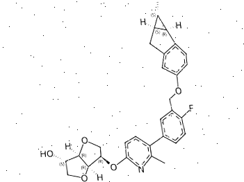 Cc1nc(O[C@@H]2CO[C@H]3[C@@H]2OC[C@@H]3O)ccc1-c1ccc(F)c(COc2ccc3c(c2)C[C@H]2[C@H](C)[C@@H]32)c1